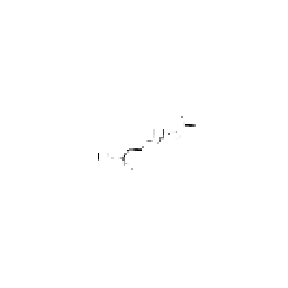 CC(C)SNCCCCC(N)O